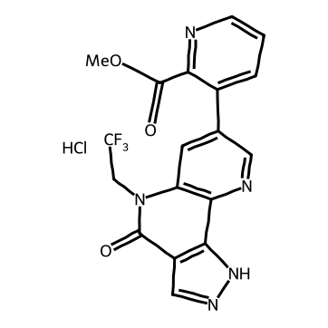 COC(=O)c1ncccc1-c1cnc2c3[nH]ncc3c(=O)n(CC(F)(F)F)c2c1.Cl